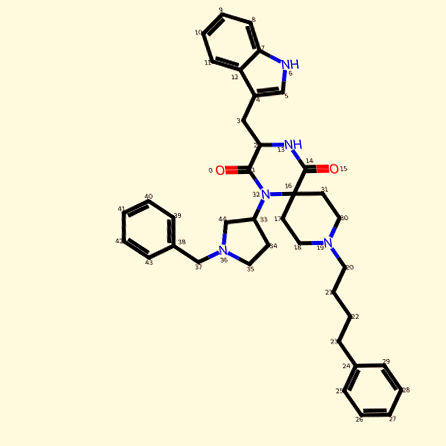 O=C1C(Cc2c[nH]c3ccccc23)NC(=O)C2(CCN(CCCCc3ccccc3)CC2)N1C1CCN(Cc2ccccc2)C1